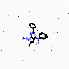 Cc1cc2c(Nc3ccccc3)nc(-c3ccccc3F)nc2[nH]1